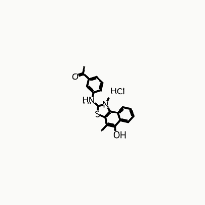 CC(=O)c1cccc(NC2Sc3c(C)c(O)c4ccccc4c3N2C)c1.Cl